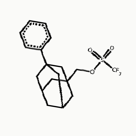 O=S(=O)(OCC12CC3CC(C1)CC(c1ccccc1)(C3)C2)C(F)(F)F